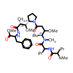 CCC(C)[C@@H](C(CC(=O)N1CCC[C@H]1C(OC)[C@@H](C)C(=O)NC(Cc1ccccc1)C(=O)OC)OC)N(C)C(=O)C(NC(=O)C(NC)C(C)C)C(C)C